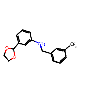 FC(F)(F)c1cccc(CNc2cccc(C3OCCO3)c2)c1